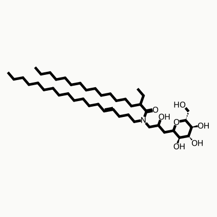 CCCCCCCCCCCCCC=CCCCN(CC(O)CC1O[C@H](CO)[C@@H](O)[C@H](O)[C@H]1O)C(=O)C(CC)CCCCCCCCCCCCCC